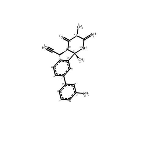 C#CC[C@H]1C(=O)N(C)C(=N)N[C@]1(C)c1cccc(-c2cccc(N)c2)c1